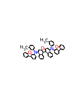 Cc1cccc(N(c2cc3oc4cc(N(c5cccc(C)c5)c5cccc6c5oc5ccccc56)c5ccccc5c4c3c3ccccc23)c2cccc3c2oc2ccccc23)c1